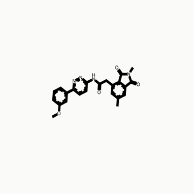 COc1cccc(-c2ccc(NC(=O)Cc3cc(C)cc4c3C(=O)N(C)C4=O)nn2)c1